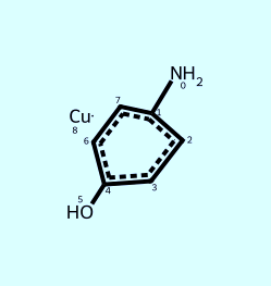 Nc1ccc(O)cc1.[Cu]